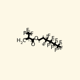 C=C(C(=O)OCCC(F)(F)C(F)(F)C(F)(F)C(F)(F)F)C(F)(F)F